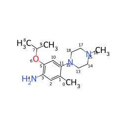 Cc1cc(N)c(OC(C)C)cc1N1CCN(C)CC1